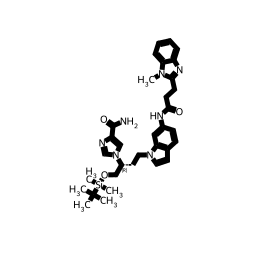 Cn1c(CCC(=O)Nc2ccc3ccn(CC[C@H](CO[Si](C)(C)C(C)(C)C)n4cnc(C(N)=O)c4)c3c2)nc2ccccc21